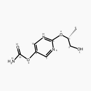 C[C@H](CO)Oc1ncc(OC(N)=O)cn1